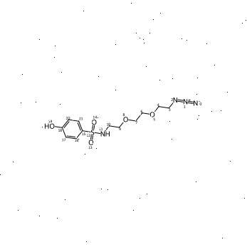 [N-]=[N+]=NCCOCCOCCNS(=O)(=O)c1ccc(O)cc1